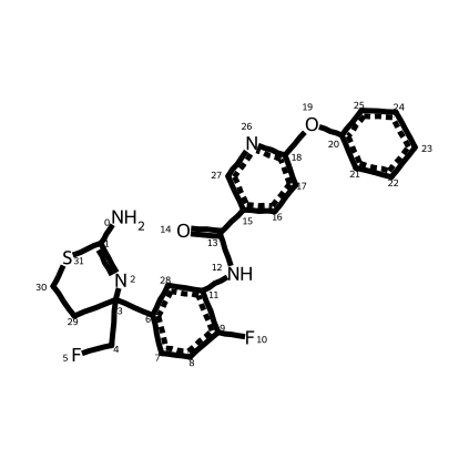 NC1=NC(CF)(c2ccc(F)c(NC(=O)c3ccc(Oc4ccccc4)nc3)c2)CCS1